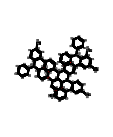 Cc1cc2c3c(c1)N(c1ccc(C(C)(C)C)cc1-c1ccccc1)c1cc(-c4cc(C#N)cc(C(C)(C)C)c4N(c4ccccc4)c4ccccc4)ccc1B3c1ccc(-c3cc(C#N)ccc3N(c3ccccc3)c3ccccc3)cc1O2